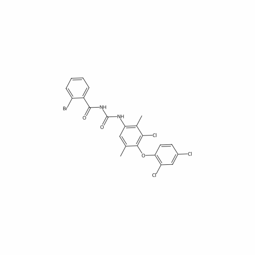 Cc1cc(NC(=O)NC(=O)c2ccccc2Br)c(C)c(Cl)c1Oc1ccc(Cl)cc1Cl